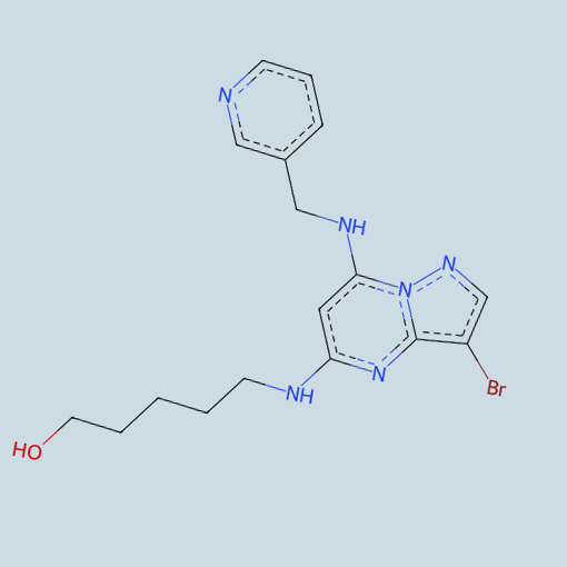 OCCCCCNc1cc(NCc2cccnc2)n2ncc(Br)c2n1